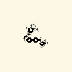 CC1(C)Cc2nc(N3CCOc4ccc(-c5ccc(C(=O)N6C[C@H]7C[C@@H]6C(=O)O7)cc5)cc43)sc2C(=O)N1